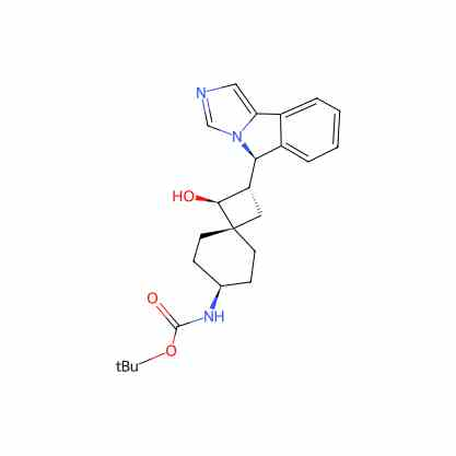 CC(C)(C)OC(=O)N[C@H]1CC[C@]2(CC1)C[C@@H]([C@@H]1c3ccccc3-c3cncn31)[C@@H]2O